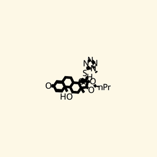 CCC[C@@H]1O[C@@H]2CC3C4CCC5=CC(=O)C=CC5(C)C4[C@@H](O)CC3(C)[C@]2(C(=O)CSc2nnnn2C)O1